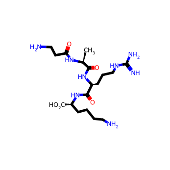 C[C@H](NC(=O)CCN)C(=O)N[C@@H](CCCNC(=N)N)C(=O)N[C@@H](CCCCN)C(=O)O